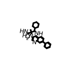 CC(C)(C([NH])=O)C(Nc1c(N)cnc2cc(-c3ccccc3)ccc12)C1CCCCC1